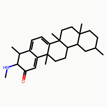 CNC1C(=O)C=C2C(=CC=C3C2(C)CCC2C4CC(C)CCC4(C)CCC32C)C1C